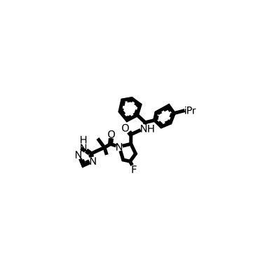 CC(C)c1ccc(C(NC(=O)C2CC(F)CN2C(=O)C(C)(C)c2ncn[nH]2)c2ccccc2)cc1